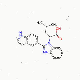 CC(C)CC(C(=O)O)n1c(-c2ccc3[nH]ccc3c2)nc2ccccc21